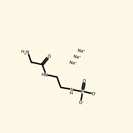 NCC(=O)NCC[SH-]P(=O)([O-])[O-].[Na+].[Na+].[Na+]